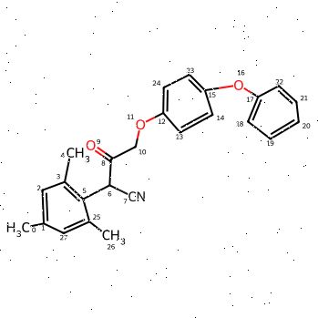 Cc1cc(C)c(C(C#N)C(=O)COc2ccc(Oc3ccccc3)cc2)c(C)c1